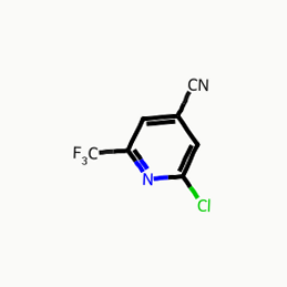 N#Cc1cc(Cl)nc(C(F)(F)F)c1